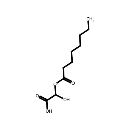 CCCCCCCC(=O)OC(O)C(=O)O